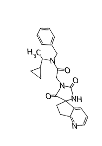 CC(C1CC1)N(Cc1ccccc1)C(=O)CN1C(=O)NC2(CCc3ncccc32)C1=O